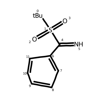 CC(C)(C)S(=O)(=O)C(=N)c1ccccc1